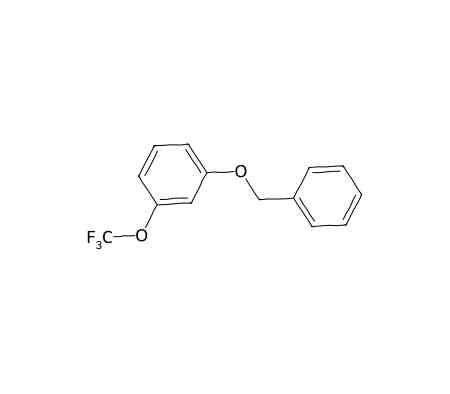 FC(F)(F)Oc1cccc(OCc2ccccc2)c1